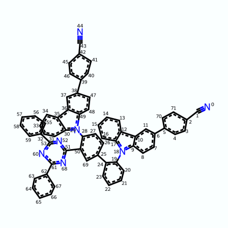 N#Cc1ccc(-c2ccc3c(c2)c2ccccc2n3-c2ccccc2-c2ccc(-n3c4ccccc4c4cc(-c5ccc(C#N)cc5)ccc43)c(-c3nc(-c4ccccc4)nc(-c4ccccc4)n3)c2)cc1